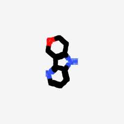 c1cnc2c3c([nH]c2c1)CCOC3